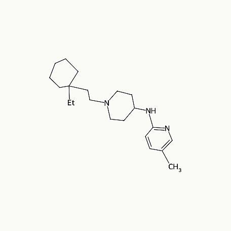 CCC1(CCN2CCC(Nc3ccc(C)cn3)CC2)CCCCC1